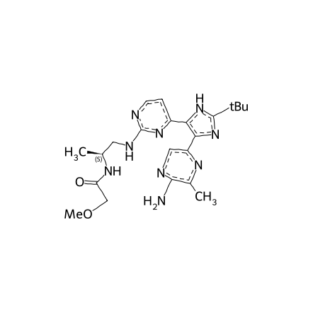 COCC(=O)N[C@@H](C)CNc1nccc(-c2[nH]c(C(C)(C)C)nc2-c2cnc(N)c(C)n2)n1